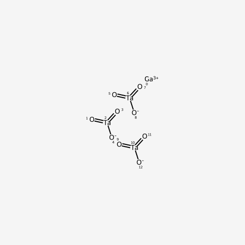 [Ga+3].[O]=[Ta](=[O])[O-].[O]=[Ta](=[O])[O-].[O]=[Ta](=[O])[O-]